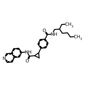 CCCCC(CC)CNC(=O)c1ccc(C2CC2C(=O)Nc2ccc3cnccc3c2)cc1